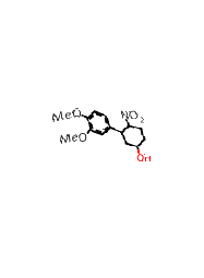 COc1ccc(C2CC(O)CCC2[N+](=O)[O-])cc1OC